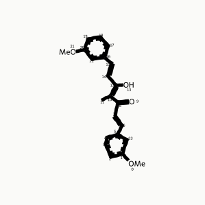 COc1cccc(/C=C/C(=O)/C(C)=C(O)/C=C/c2cccc(OC)c2)c1